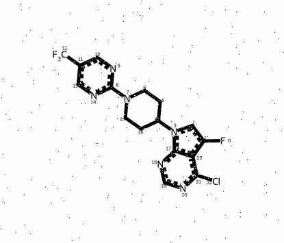 Fc1cn(C2CCN(c3ncc(C(F)(F)F)cn3)CC2)c2ncnc(Cl)c12